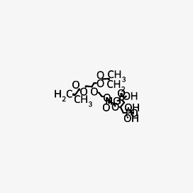 C=C(C)C(=O)OCC(COC(=O)C(=C)C)OCCOC(=O)COC(CP(=O)(O)O)CP(=O)(O)O